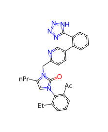 CCCc1cn(-c2c(CC)cccc2C(C)=O)c(=O)n1Cc1ccc(-c2ccccc2-c2nnn[nH]2)cn1